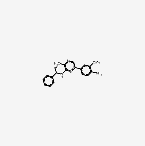 CCCC(Nc1nc(-c2ccc(N)c(OC)c2)cnc1C)c1ccccc1